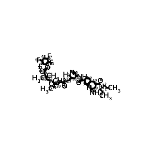 CCCN(CCC)C(=O)C1=Cc2ccc(C(=O)Nc3cncc(CNC(=O)CCC(C)(CC)OCCC(C)(C)C4OC4Oc4c(F)c(F)cc(F)c4F)c3)cc2N=C(N)C1